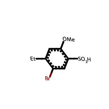 CCc1cc(OC)c(S(=O)(=O)O)cc1Br